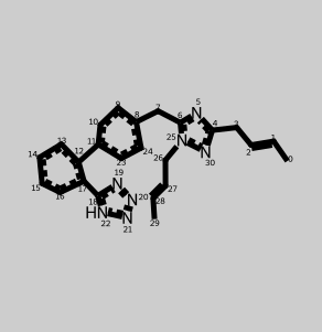 CC=CCc1nc(Cc2ccc(-c3ccccc3-c3nnn[nH]3)cc2)n(CC=CC)n1